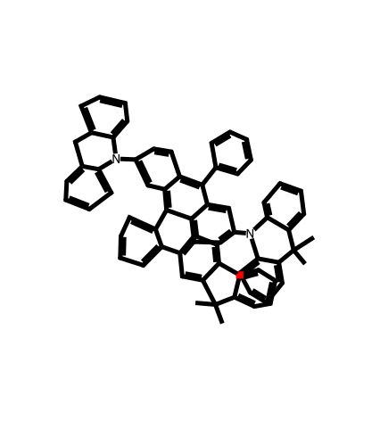 CC1(C)c2ccccc2-c2ccc(-c3ccccc3-c3c4ccc(N5c6ccccc6C(C)(C)c6ccccc65)cc4c(-c4ccccc4)c4ccc(N5c6ccccc6Cc6ccccc65)cc34)cc21